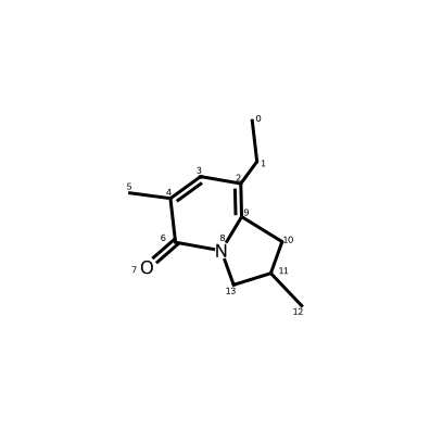 CCc1cc(C)c(=O)n2c1CC(C)C2